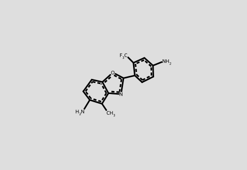 Cc1c(N)ccc2oc(-c3ccc(N)cc3C(F)(F)F)nc12